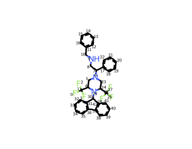 FC(F)(F)C1CN(C(CNCc2ccccc2)c2ccccc2)CC(C(F)(F)F)N1C1c2ccccc2-c2ccccc21